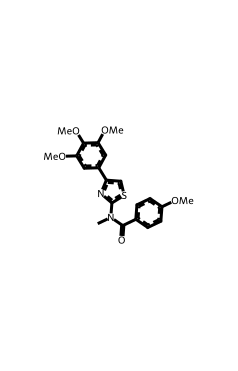 COc1ccc(C(=O)N(C)c2nc(-c3cc(OC)c(OC)c(OC)c3)cs2)cc1